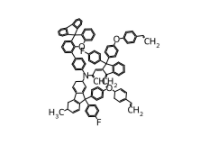 C=CC1=CCC(Oc2ccc(C3(c4ccc(F)cc4)C4=CC(N(C(=C)/C=C5\C(=C)c6ccccc6C5(c5ccc(F)cc5)c5ccc(Oc6ccc(C=C)cc6)cc5)c5ccc(-c6cccc7c6Oc6ccccc6C76c7ccccc7-c7ccccc76)cc5)CC=C4C4=C3C=CC(C)C4)cc2)C=C1